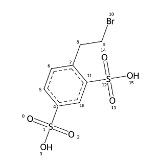 O=S(=O)(O)c1ccc(CCBr)c(S(=O)(=O)O)c1